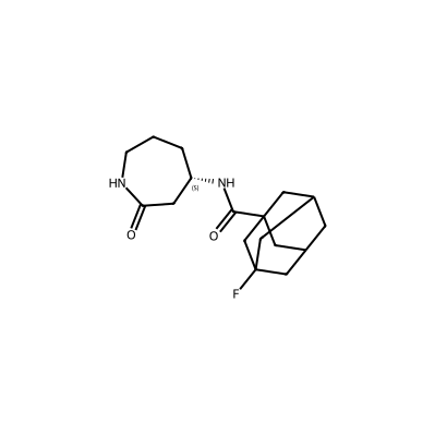 O=C1C[C@@H](NC(=O)C23CC4CC(CC(F)(C4)C2)C3)CCCN1